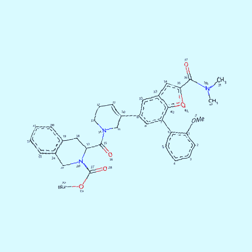 COc1ccccc1-c1cc(C2=CCCN(C(=O)C3Cc4ccccc4CN3C(=O)OC(C)(C)C)C2)cc2cc(C(=O)N(C)C)oc12